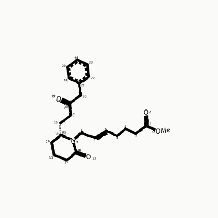 COC(=O)CCCC=CCN1C(=O)CCC[C@@H]1CCC(=O)Cc1ccccc1